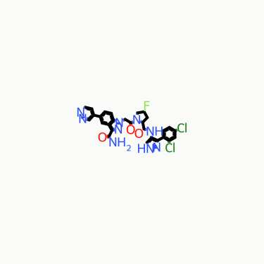 NC(=O)c1nn(CC(=O)N2CC(F)CC2C(=O)Nc2c[nH]nc2-c2ccc(Cl)cc2Cl)c2ccc(-c3ccnnc3)cc12